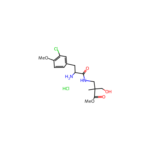 COC(=O)C(C)(CO)CNC(=O)C(N)Cc1ccc(OC)c(Cl)c1.Cl